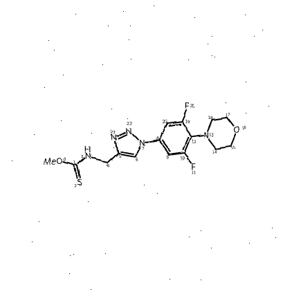 COC(=S)NCc1cn(-c2cc(F)c(N3CCOCC3)c(F)c2)nn1